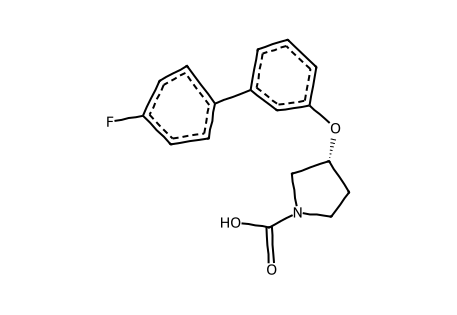 O=C(O)N1CC[C@@H](Oc2cccc(-c3ccc(F)cc3)c2)C1